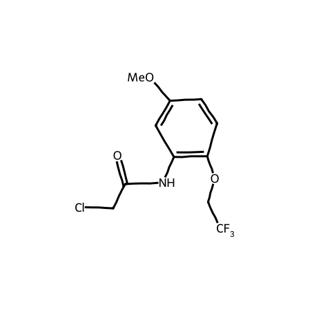 COc1ccc(OCC(F)(F)F)c(NC(=O)CCl)c1